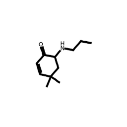 CCCNC1CC(C)(C)C=CC1=O